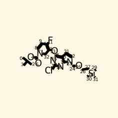 CC(C)(C)OC(=O)N1C=CC(F)=C(Oc2nc(Cl)nc3c2ccn3COCC[Si](C)(C)C)C1